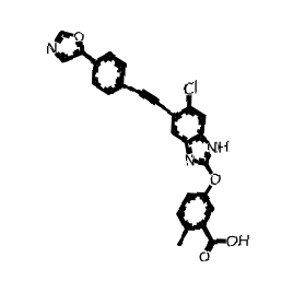 Cc1ccc(Oc2nc3cc(C#Cc4ccc(-c5cnco5)cc4)c(Cl)cc3[nH]2)cc1C(=O)O